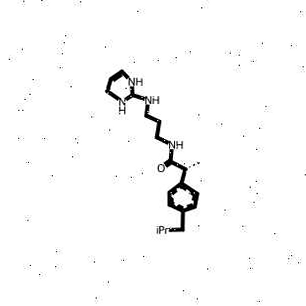 CC(C)Cc1ccc([C@@H](C)C(=O)NCCCNC2NC=CCN2)cc1